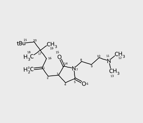 C=C(CC1CC(=O)N(CCCN(C)C)C1=O)CC(C)(C)CC(C)(C)C